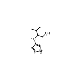 CC(C)C(CO)Oc1cc[nH]n1